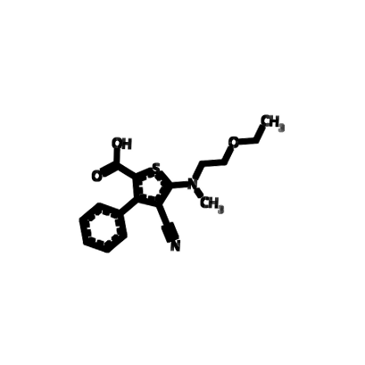 CCOCCN(C)c1sc(C(=O)O)c(-c2ccccc2)c1C#N